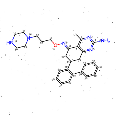 Cc1nc(N)nc2c1/C(=N/OCCCN1CCNCC1)CC(c1ccccc1-c1ccccc1)C2